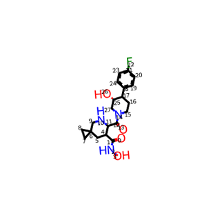 O=C(NO)C1CC2(CC2)CNC1C(=O)N1CCC(c2ccc(F)cc2)[C@H](O)C1